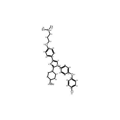 CCCCC1CCC(c2nc(-c3ccc(OCCCN(CC)CC)cc3)cn2-c2ccc(Oc3ccc(Cl)cc3)cc2)CC1